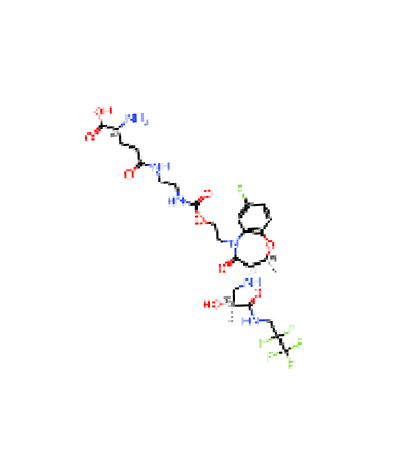 C[C@H]1Oc2ccc(F)cc2N(CCOC(=O)NCCNC(=O)CC[C@H](N)C(=O)O)C(=O)[C@H]1NC[C@](C)(O)C(=O)NCC(F)(F)C(F)(F)F